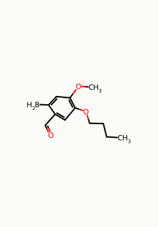 Bc1cc(OC)c(OCCCC)cc1C=O